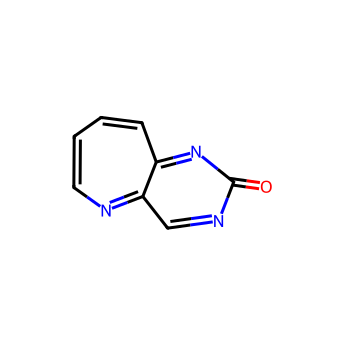 O=c1ncc2nccccc-2n1